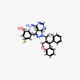 CC(C1=C(c2ccccc2)c2ccccc2OC1)n1nc(-c2cc(O)cc(F)c2)c2c(N)ncnc21